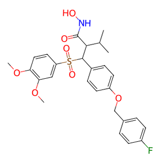 COc1ccc(S(=O)(=O)C(c2ccc(OCc3ccc(F)cc3)cc2)C(C(=O)NO)C(C)C)cc1OC